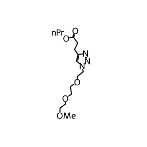 CCCOC(=O)CCc1cn(CCOCCOCCOC)nn1